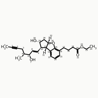 CC#CC[C@H](C)[C@H](O)/C=C/[C@@H]1[C@H]2c3cccc(CCCC(=O)OCC)c3O[C@H]2C[C@H]1O